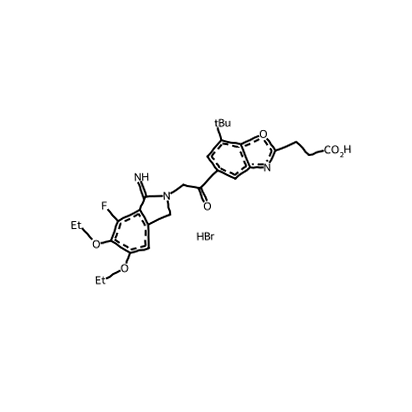 Br.CCOc1cc2c(c(F)c1OCC)C(=N)N(CC(=O)c1cc(C(C)(C)C)c3oc(CCC(=O)O)nc3c1)C2